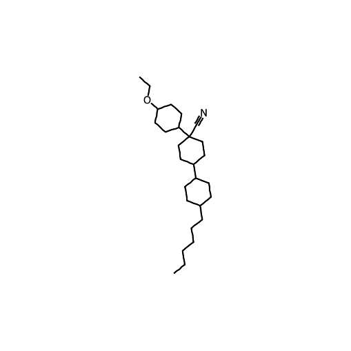 CCCCCCC1CCC(C2CCC(C#N)(C3CCC(OCC)CC3)CC2)CC1